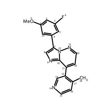 COc1cc(F)cc(-c2cnc3c(-c4cnccc4C)ccnn23)c1